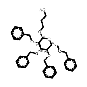 OCCCO[C@H]1O[C@H](COCc2ccccc2)[C@@H](OCc2ccccc2)[C@H](OCc2ccccc2)[C@@H]1OCc1ccccc1